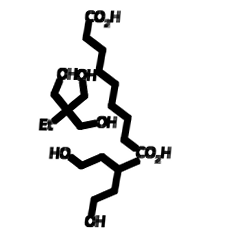 CC(CCO)CCO.CCC(CO)(CO)CO.O=C(O)CCCCCCCC(=O)O